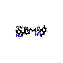 COc1ccc2[nH]cc(C3CCN(CCCNC(=O)c4nccc5ccccc45)CC3)c2c1